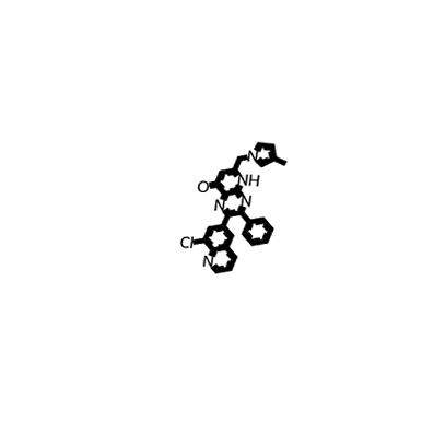 Cc1ccn(Cc2cc(=O)c3nc(-c4cc(Cl)c5ncccc5c4)c(-c4ccccc4)nc3[nH]2)c1